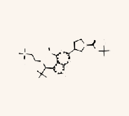 COc1nc(C2CCN(C(=O)OC(C)(C)C)C2)nc2[nH]nc(C(OCC[Si](C)(C)C)C(F)(F)F)c12